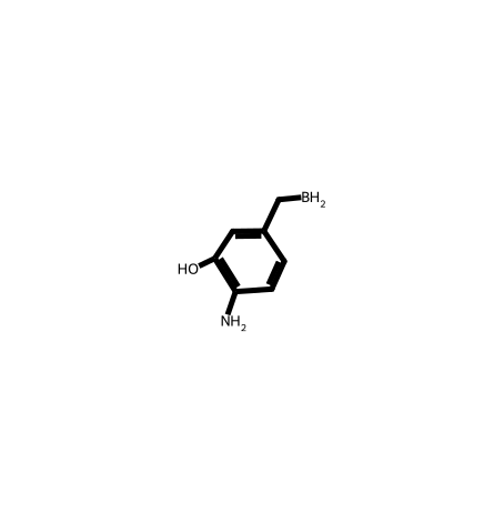 BCc1ccc(N)c(O)c1